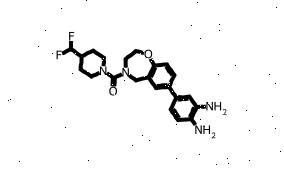 Nc1ccc(-c2ccc3c(c2)CN(C(=O)N2CCC(C(F)F)CC2)CCO3)cc1N